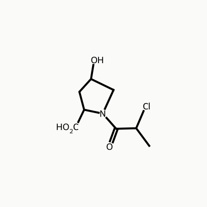 CC(Cl)C(=O)N1CC(O)CC1C(=O)O